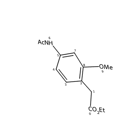 CCOC(=O)Cc1ccc(NC(C)=O)cc1OC